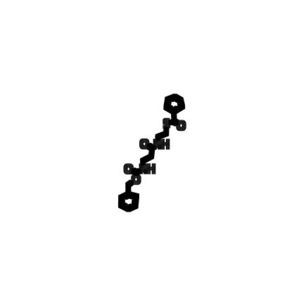 O=C(CCNC(=O)OCc1ccccc1)NCCSC(=O)c1ccccc1